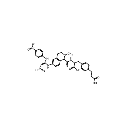 CN1CCc2cc(NC(=C[N+](=O)[O-])Nc3ccc([N+](=O)[O-])cc3)ccc2C1C(=O)NC(Cc1ccc(CCC(=O)O)cc1)C(=O)O